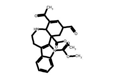 COC(=O)n1c2c(c3ccccc31)CCNC1C(C(C)=O)=CC(C=O)CC21C(=O)OC